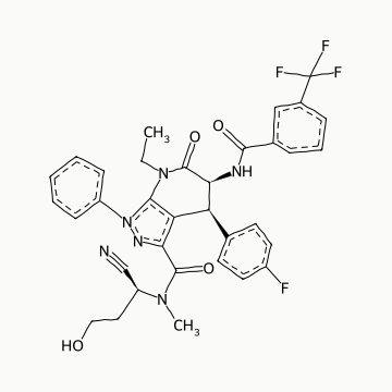 CCN1C(=O)[C@@H](NC(=O)c2cccc(C(F)(F)F)c2)[C@@H](c2ccc(F)cc2)c2c(C(=O)N(C)[C@H](C#N)CCO)nn(-c3ccccc3)c21